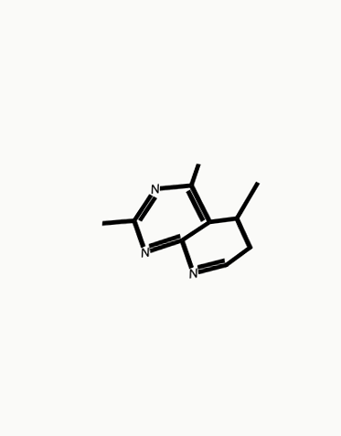 Cc1nc(C)c2c(n1)N=CCC2C